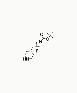 CC(C)(C)OC(=O)N1CC(F)(CC2CCNCC2)C1